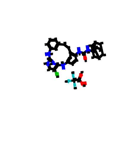 O=C(Nc1ccc2cc1CCc1cccc(c1)Nc1ncc(Cl)c(n1)N2)NC12CC3CC(CC(C3)C1)C2.O=C(O)C(F)(F)F